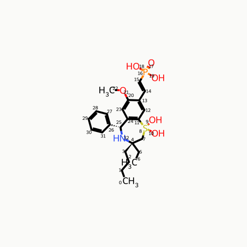 CCCC[C@]1(CC)CS(O)(O)c2cc(/C=C/P(=O)(O)O)c(OC)cc2[C@@H](c2ccccc2)N1